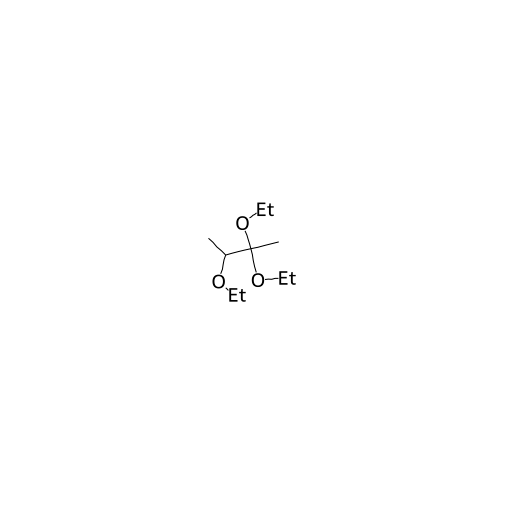 CCOC(C)C(C)(OCC)OCC